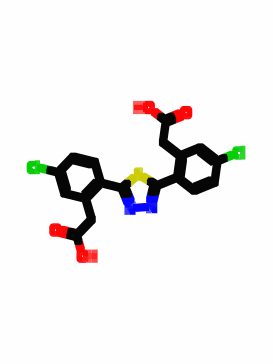 O=C(O)Cc1cc(Cl)ccc1-c1nnc(-c2ccc(Cl)cc2CC(=O)O)s1